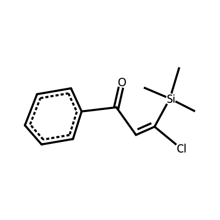 C[Si](C)(C)/C(Cl)=C\C(=O)c1ccccc1